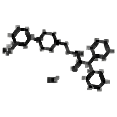 Cl.O=C(NCCN1CCN(c2cccc(C(F)(F)F)c2)CC1)C(c1ccccc1)c1ccccc1